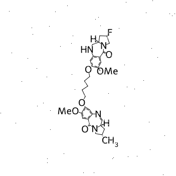 COc1cc2c(cc1OCCCCCOc1cc3c(cc1OC)C(=O)N1C[C@@H](F)C[C@H]1CN3)N=C[C@@H]1C[C@H](C)CN1C2=O